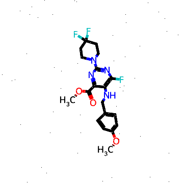 COC(=O)c1nc(N2CCC(F)(F)CC2)nc(F)c1NCc1ccc(OC)cc1